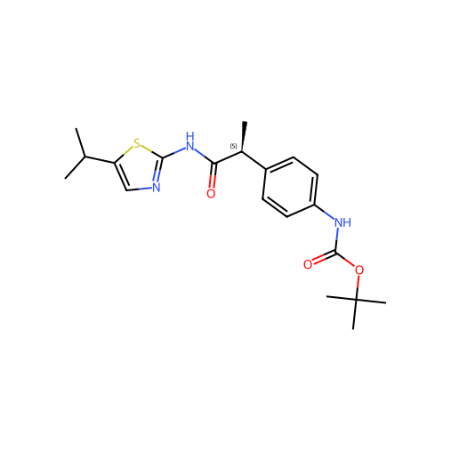 CC(C)c1cnc(NC(=O)[C@@H](C)c2ccc(NC(=O)OC(C)(C)C)cc2)s1